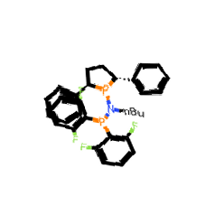 CCCCN(P(c1c(F)cccc1F)c1c(F)cccc1F)P1[C@@H](c2ccccc2)CC[C@@H]1c1ccccc1